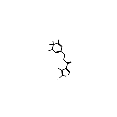 CCCCC1(O)C(C(C)(C)C)=CC(CCC(=O)c2c[nH]c(Br)c2Br)=CC1C(C)(C)C